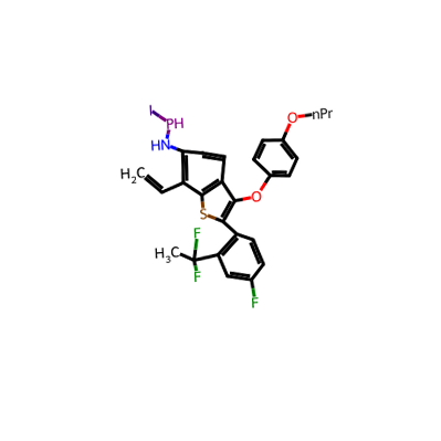 C=Cc1c(NPI)ccc2c(Oc3ccc(OCCC)cc3)c(-c3ccc(F)cc3C(C)(F)F)sc12